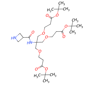 CC(C)(C)OC(=O)CCOCC(COCCC(=O)OC(C)(C)C)(COCCC(=O)OC(C)(C)C)NC(=O)C1CNC1